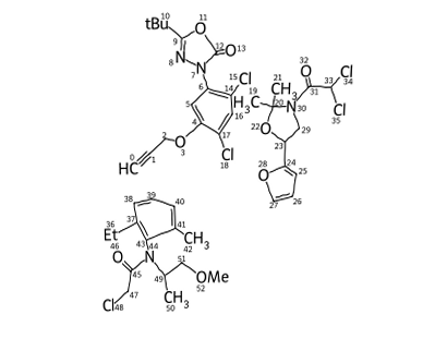 C#CCOc1cc(-n2nc(C(C)(C)C)oc2=O)c(Cl)cc1Cl.CC1(C)OC(c2ccco2)CN1C(=O)C(Cl)Cl.CCc1cccc(C)c1N(C(=O)CCl)C(C)COC